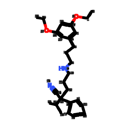 CCOc1cc(CCCNCCCC(C#N)(c2ccccc2)C(C)C)cc(OCC)c1